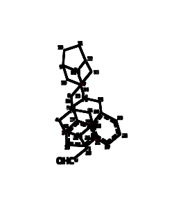 O=CCN1CCN(CCN2C3CCC2CC(N(Cc2ccccc2)Cc2ccccc2)C3)CC1